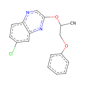 N#CC(COc1ccccc1)Oc1cnc2ccc(Cl)cc2n1